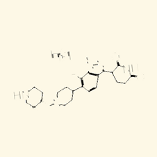 C[C@@H]1CNCC[C@@H]1CN1CCC(c2ccc3c(C4CCC(=O)NC4=O)nn(C)c3c2F)CC1.Cl.Cl